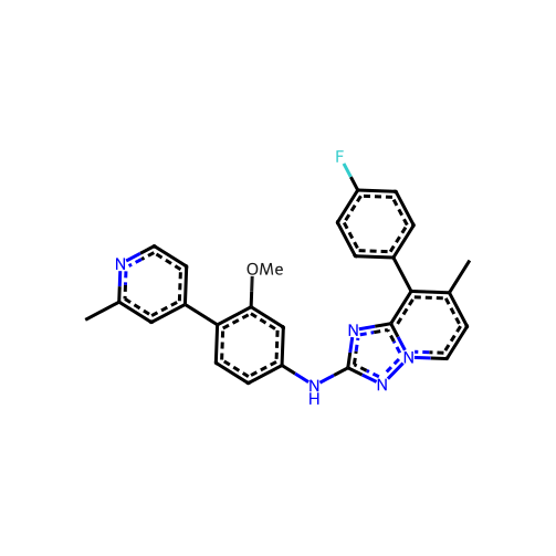 COc1cc(Nc2nc3c(-c4ccc(F)cc4)c(C)ccn3n2)ccc1-c1ccnc(C)c1